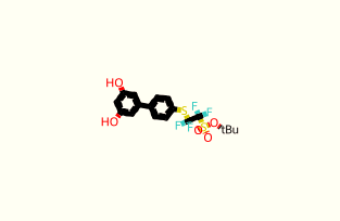 CC(C)(C)OS(=O)(=O)C(F)(F)C(F)(F)Sc1ccc(-c2cc(O)cc(O)c2)cc1